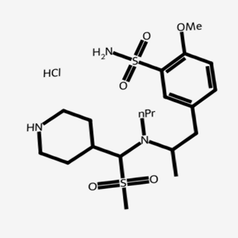 CCCN(C(C)Cc1ccc(OC)c(S(N)(=O)=O)c1)C(C1CCNCC1)S(C)(=O)=O.Cl